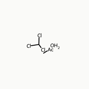 CC(C)=O.ClC(Cl)Cl.O